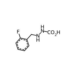 O=C(O)NNCc1ccccc1F